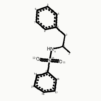 CC(Cc1ccccc1)NS(=O)(=O)c1ccccc1